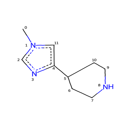 Cn1cnc(C2CCNCC2)c1